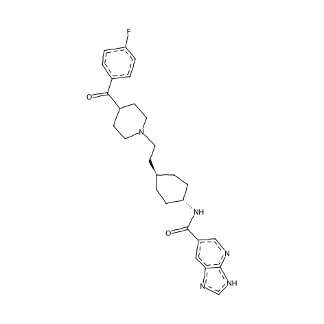 O=C(N[C@H]1CC[C@H](CCN2CCC(C(=O)c3ccc(F)cc3)CC2)CC1)c1cnc2[nH]cnc2c1